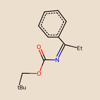 CC/C(=N/C(=O)OCC(C)(C)C)c1ccccc1